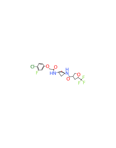 O=C(COc1ccc(Cl)c(F)c1)NC12CC(NC(=O)C3COC(C(F)(F)F)C3)(C1)C2